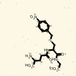 CCOC(=O)CNC(=O)C(CSCc1ccc([N+](=O)[O-])cc1)NC(=O)CCC(N)C(=O)O